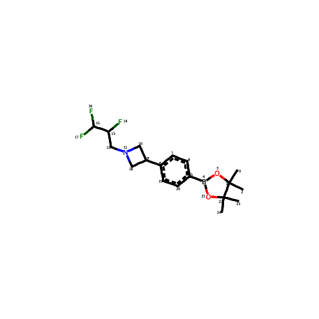 CC1(C)OB(c2ccc(C3CN(CC(F)C(F)F)C3)cc2)OC1(C)C